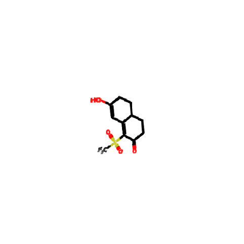 O=C1CCC2CCC(O)=CC2=C1S(=O)(=O)C(F)(F)F